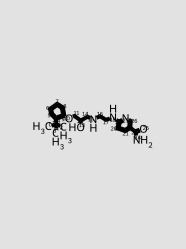 CC(C)(C)c1ccccc1OCC(O)CNCCNc1ccc(C(N)=O)cn1